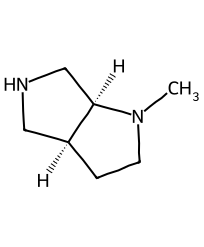 CN1CC[C@H]2CNC[C@H]21